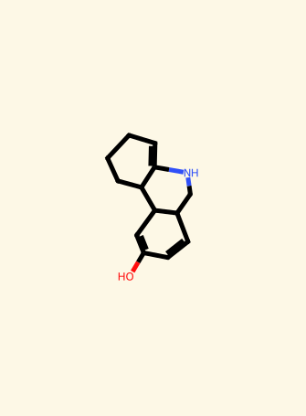 OC1=CC2C(C=C1)CNC1=CCCCC12